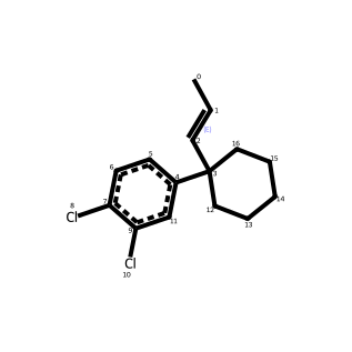 C/C=C/C1(c2ccc(Cl)c(Cl)c2)CCCCC1